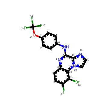 Fc1ccc2nc(Nc3ccc(OC(F)(F)F)cc3)c3nccn3c2c1Br